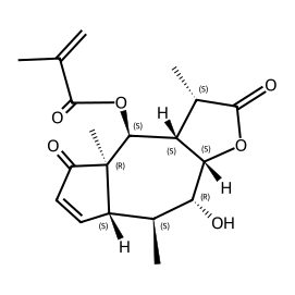 C=C(C)C(=O)O[C@H]1[C@H]2[C@H](OC(=O)[C@H]2C)[C@H](O)[C@@H](C)[C@@H]2C=CC(=O)[C@]21C